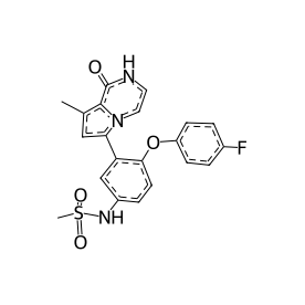 Cc1cc(-c2cc(NS(C)(=O)=O)ccc2Oc2ccc(F)cc2)n2cc[nH]c(=O)c12